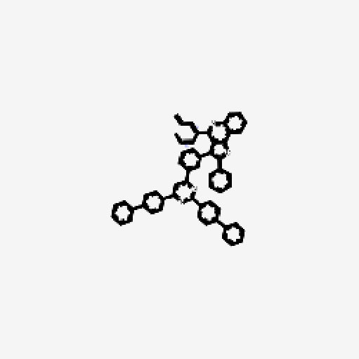 C=C/C=C(\C=C/C)c1nc2ccccc2c2oc(-c3ccccc3)c(-c3cccc(-c4cc(-c5ccc(-c6ccccc6)cc5)nc(-c5ccc(-c6ccccc6)cc5)n4)c3)c12